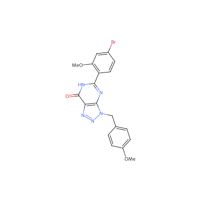 COc1ccc(Cn2nnc3c(=O)[nH]c(-c4ccc(Br)cc4OC)nc32)cc1